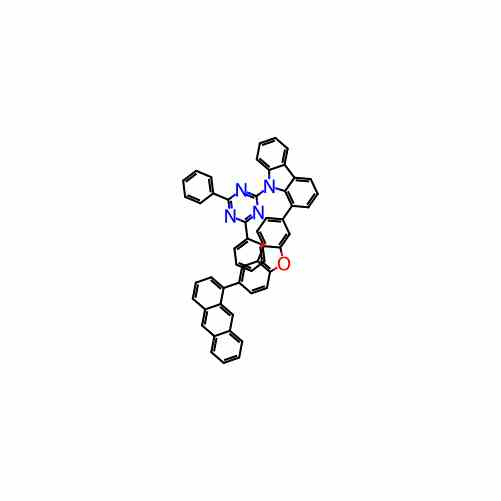 c1ccc(-c2nc(-c3ccccc3)nc(-n3c4ccccc4c4cccc(-c5ccc6c(c5)oc5ccc(-c7cccc8cc9ccccc9cc78)cc56)c43)n2)cc1